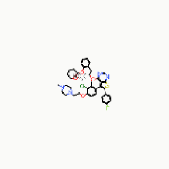 Cc1c(-c2c(-c3ccc(F)cc3)sc3ncnc(O[C@@H](Cc4ccccc4OC4CCCCO4)C(=O)O)c23)ccc(OCCN2CCN(C)CC2)c1Cl